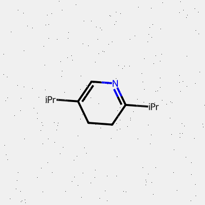 CC(C)C1=CN=C(C(C)C)CC1